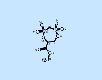 CC(C)(C)OC(=O)C1COS(=O)(=O)CS(=O)(=O)O1